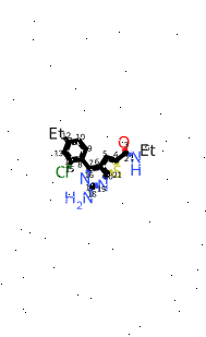 CCNC(=O)c1cc2c(-c3ccc(CC)cc3Cl)nc(N)nc2s1